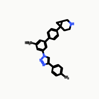 O=C(O)c1cc(-c2ccc(C34CCNCC3C4)cc2)cc(-n2cc(-c3ccc(C(F)(F)F)cc3)nn2)c1